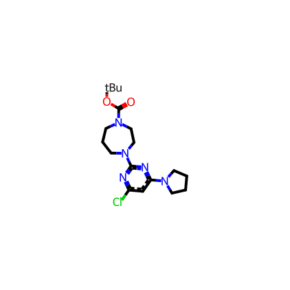 CC(C)(C)OC(=O)N1CCCN(c2nc(Cl)cc(N3CCCC3)n2)CC1